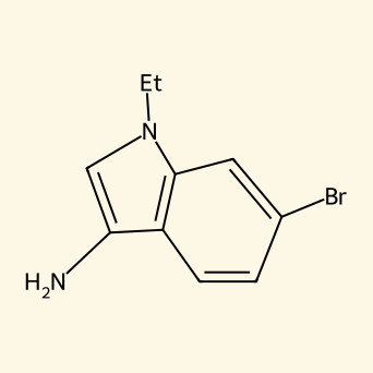 CCn1cc(N)c2ccc(Br)cc21